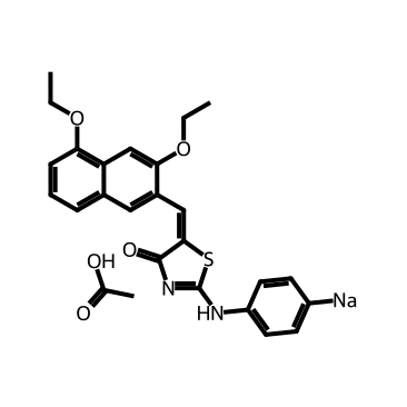 CC(=O)O.CCOc1cc2c(OCC)cccc2cc1/C=C1/SC(Nc2cc[c]([Na])cc2)=NC1=O